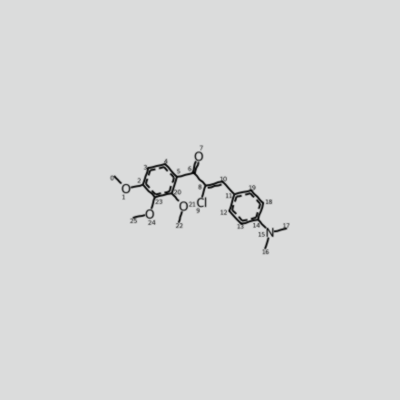 COc1ccc(C(=O)C(Cl)=Cc2ccc(N(C)C)cc2)c(OC)c1OC